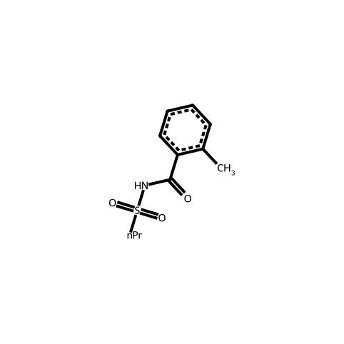 CCCS(=O)(=O)NC(=O)c1ccccc1C